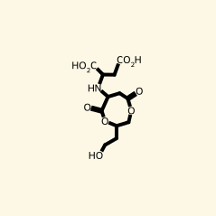 O=C(O)CC(NC1CC(=O)OCC(CCO)OC1=O)C(=O)O